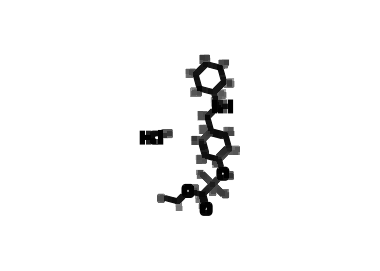 CCOC(=O)C(C)(C)Oc1ccc(CNC2CCCCC2)cc1.Cl